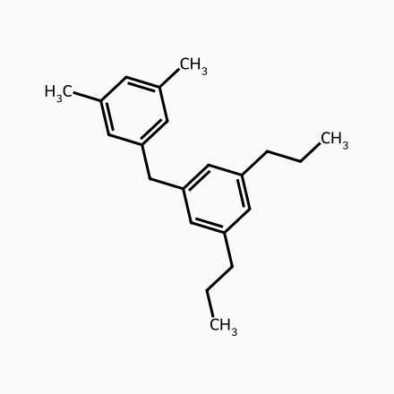 CCCc1cc(CCC)cc(Cc2cc(C)cc(C)c2)c1